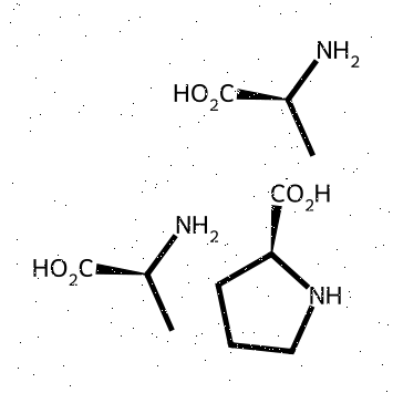 C[C@H](N)C(=O)O.C[C@H](N)C(=O)O.O=C(O)[C@@H]1CCCN1